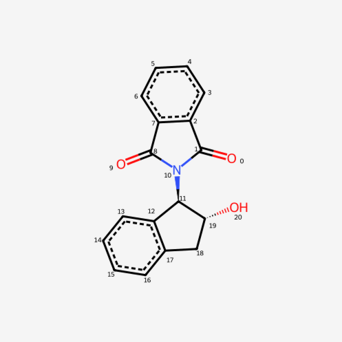 O=C1c2ccccc2C(=O)N1[C@@H]1c2ccccc2C[C@H]1O